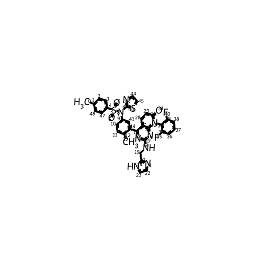 Cc1ccc(S(=O)(=O)N(c2ccc(C)c(-c3nc(NCc4ncc[nH]4)nc4c3ccc(=O)n4-c3c(F)cccc3F)c2)c2nccs2)cc1